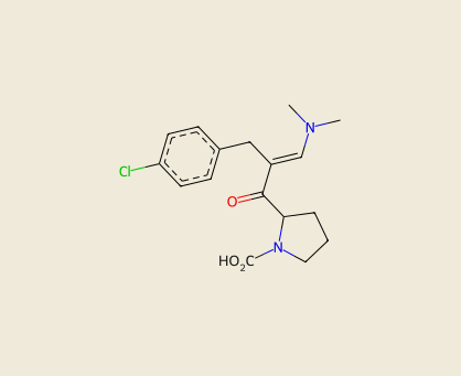 CN(C)C=C(Cc1ccc(Cl)cc1)C(=O)C1CCCN1C(=O)O